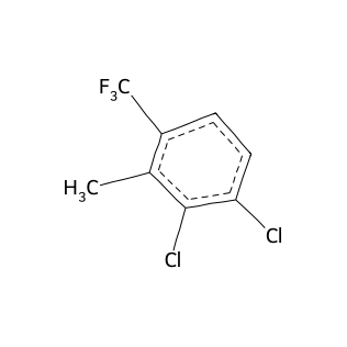 Cc1c(C(F)(F)F)ccc(Cl)c1Cl